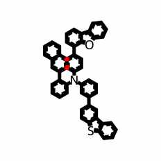 c1cc(-c2ccc3sc4ccccc4c3c2)cc(N(c2ccc(-c3cccc4c3oc3ccccc34)cc2)c2ccccc2-c2ccc3ccccc3c2)c1